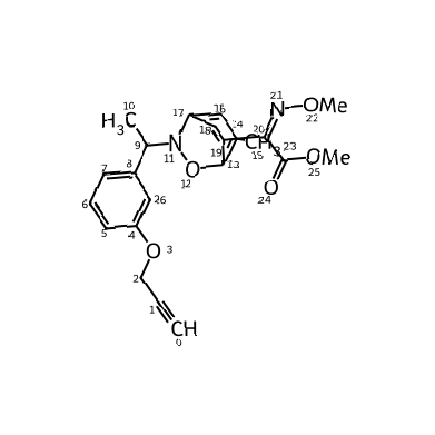 C#CCOc1cccc(C(C)N2Oc3c(C)cc2cc3C(=NOC)C(=O)OC)c1